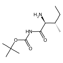 CC[C@H](C)[C@H](N)C(=O)NC(=O)OC(C)(C)C